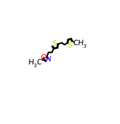 Cc1cnc(CCc2csc(CCc3ccc(C)s3)c2)o1